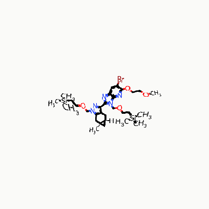 COCCOc1nc2c(cc1Br)nc(-c1nn(COCC[Si](C)(C)C)c3c1C[C@@H]1C[C@]1(C)C3)n2COCC[Si](C)(C)C